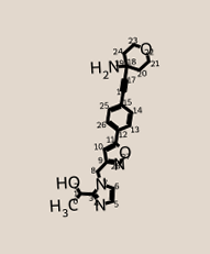 CC(O)c1nccn1Cc1cc(-c2ccc(C#CC3(N)CCOCC3)cc2)on1